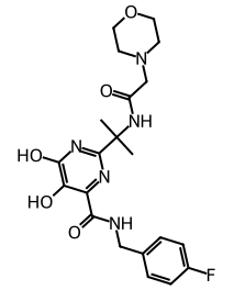 CC(C)(NC(=O)CN1CCOCC1)c1nc(O)c(O)c(C(=O)NCc2ccc(F)cc2)n1